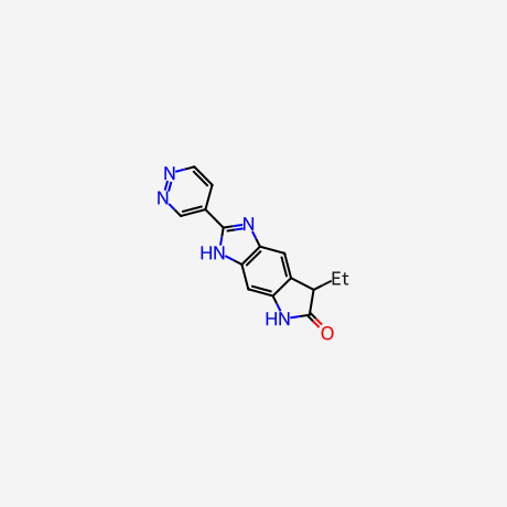 CCC1C(=O)Nc2cc3[nH]c(-c4ccnnc4)nc3cc21